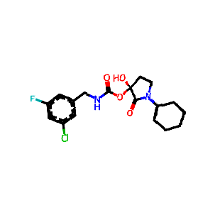 O=C(NCc1cc(F)cc(Cl)c1)O[C@]1(O)CCN(C2CCCCC2)C1=O